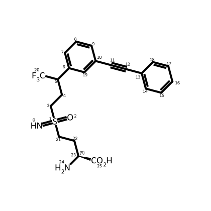 N=S(=O)(CCC(c1cccc(C#Cc2ccccc2)c1)C(F)(F)F)CC[C@H](N)C(=O)O